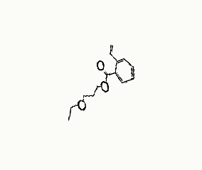 C=Cc1ccccc1C(=O)OCCCOCC